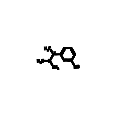 C[C@@H](c1cccc(N=O)c1)N(C)C